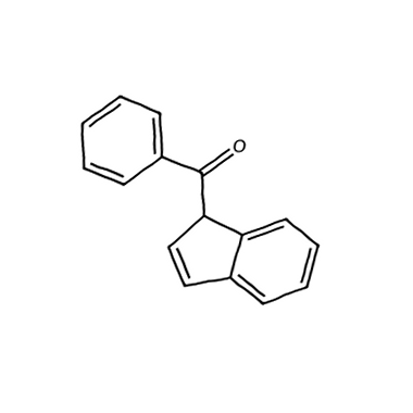 O=C(c1ccccc1)C1C=Cc2ccccc21